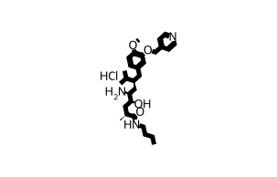 CCCCNC(=O)[C@H](C)C[C@H](O)[C@@H](N)C[C@H](Cc1ccc(OC)c(OCc2ccncc2)c1)C(C)C.Cl